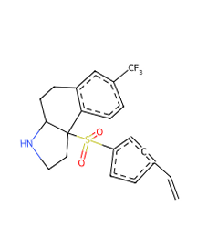 C=Cc1ccc(S(=O)(=O)C23CCNC2CCc2cc(C(F)(F)F)ccc23)cc1